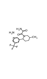 CC1CCC(c2cncc(C(F)(F)F)c2)N(C(=O)C(N)=O)C1.N